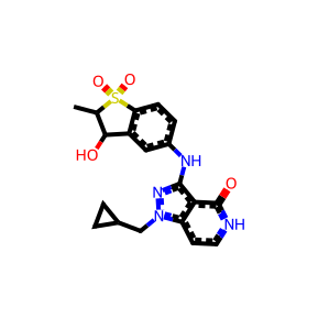 CC1C(O)c2cc(Nc3nn(CC4CC4)c4cc[nH]c(=O)c34)ccc2S1(=O)=O